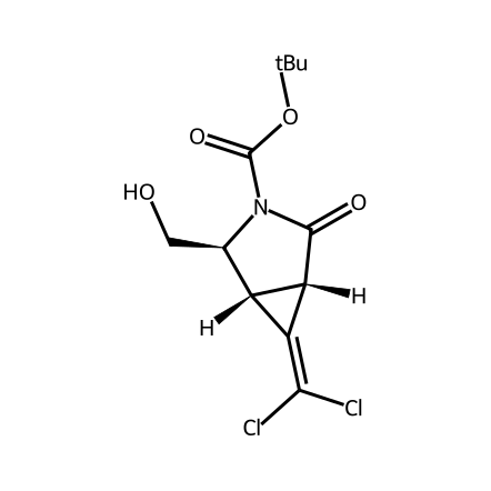 CC(C)(C)OC(=O)N1C(=O)[C@@H]2C(=C(Cl)Cl)[C@@H]2[C@H]1CO